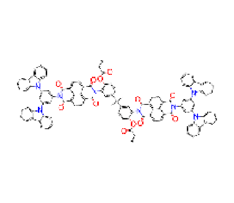 C=CC(=O)Oc1ccc(C(C)(C)c2ccc(OC(=O)C=C)c(N3C(=O)c4ccc5c6c(ccc(c46)C3=O)C(=O)N(c3cc(-n4c6ccccc6c6ccccc64)cc(-n4c6ccccc6c6ccccc64)c3)C5=O)c2)cc1N1C(=O)c2ccc3c4c(ccc(c24)C1=O)C(=O)N(c1cc(-n2c4ccccc4c4ccccc42)cc(-n2c4ccccc4c4ccccc42)c1)C3=O